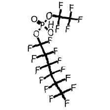 O=P(O)(OC(F)(F)C(F)(F)F)OC(F)(F)C(F)(F)C(F)(F)C(F)(F)C(F)(F)C(F)(F)F